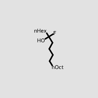 CCCCCCCCCCCCC(O)(F)CCCCCC